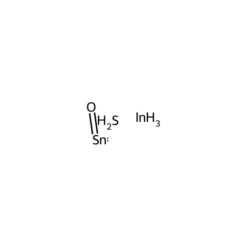 S.[InH3].[O]=[Sn]